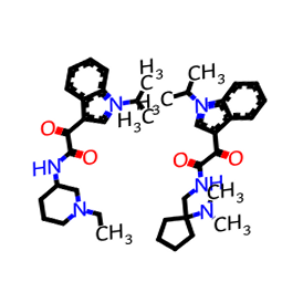 CC(C)n1cc(C(=O)C(=O)NCC2(N(C)C)CCCC2)c2ccccc21.CCN1CCCC(NC(=O)C(=O)c2cn(C(C)C)c3ccccc23)C1